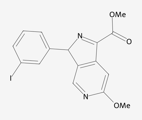 COC(=O)C1=NC(c2cccc(I)c2)c2cnc(OC)cc21